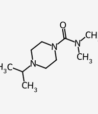 CC(C)N1CCN(C(=O)N(C)C)CC1